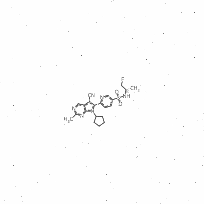 Cc1ncc2c(C#N)c(-c3ccc(S(=O)(=O)N[C@@H](C)CF)cn3)n(C3CCCC3)c2n1